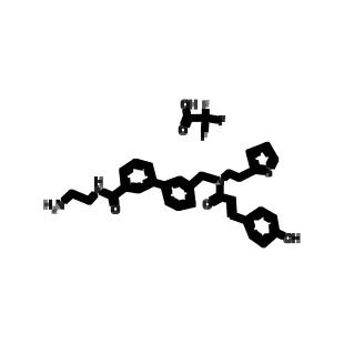 NCCNC(=O)c1cccc(-c2cccc(CN(CCc3cccs3)C(=O)/C=C/c3ccc(O)cc3)c2)c1.O=C(O)C(F)(F)F